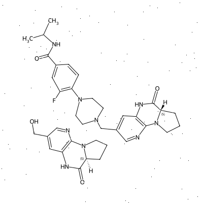 CC(C)NC(=O)c1ccc(N2CCN(Cc3cnc4c(c3)NC(=O)[C@@H]3CCCN43)CC2)c(F)c1.O=C1Nc2cc(CO)cnc2N2CCC[C@@H]12